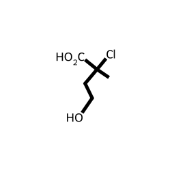 CC(Cl)(CCO)C(=O)O